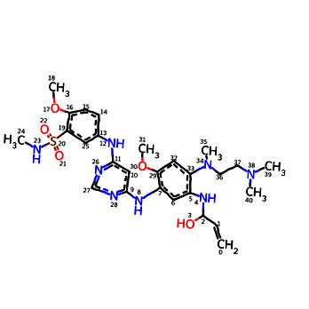 C=CC(O)Nc1cc(Nc2cc(Nc3ccc(OC)c(S(=O)(=O)NC)c3)ncn2)c(OC)cc1N(C)CCN(C)C